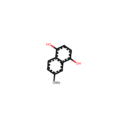 COc1ccc2c(O)ccc(O)c2c1